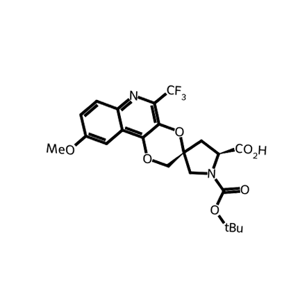 COc1ccc2nc(C(F)(F)F)c3c(c2c1)OC[C@]1(C[C@@H](C(=O)O)N(C(=O)OC(C)(C)C)C1)O3